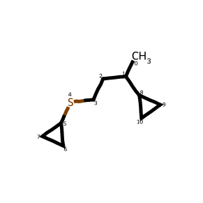 CC(CCSC1CC1)C1CC1